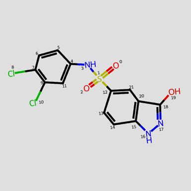 O=S(=O)(Nc1ccc(Cl)c(Cl)c1)c1ccc2[nH]nc(O)c2c1